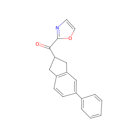 O=C(c1ncco1)C1Cc2ccc(-c3ccccc3)cc2C1